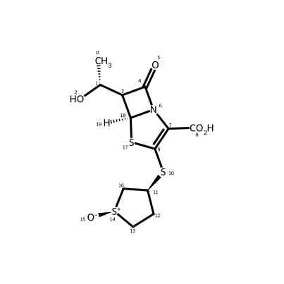 C[C@@H](O)C1C(=O)N2C(C(=O)O)=C(S[C@H]3CC[S@@+]([O-])C3)S[C@@H]12